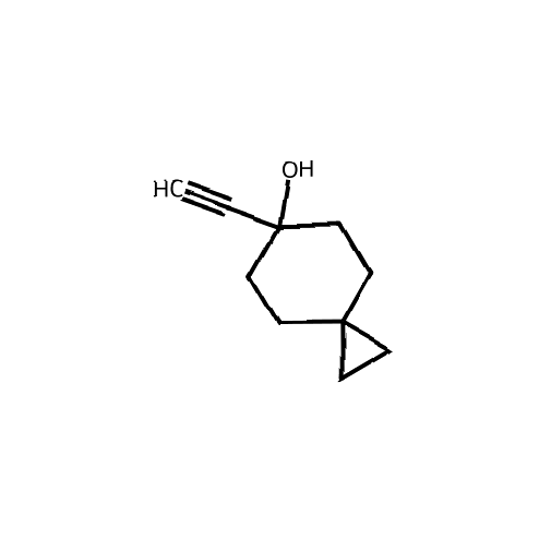 C#CC1(O)CCC2(CC1)CC2